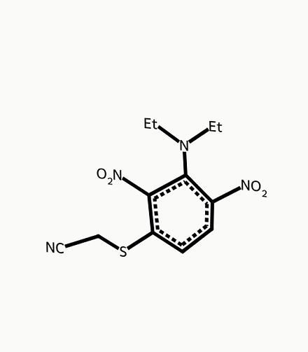 CCN(CC)c1c([N+](=O)[O-])ccc(SCC#N)c1[N+](=O)[O-]